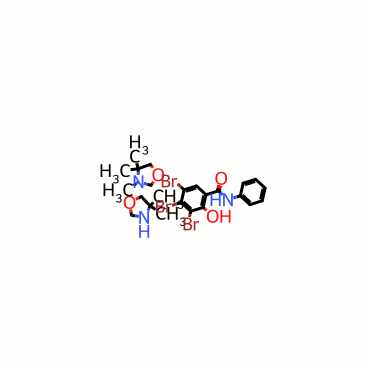 CC1(C)COCN1.CN1COCC1(C)C.O=C(Nc1ccccc1)c1cc(Br)c(Br)c(Br)c1O